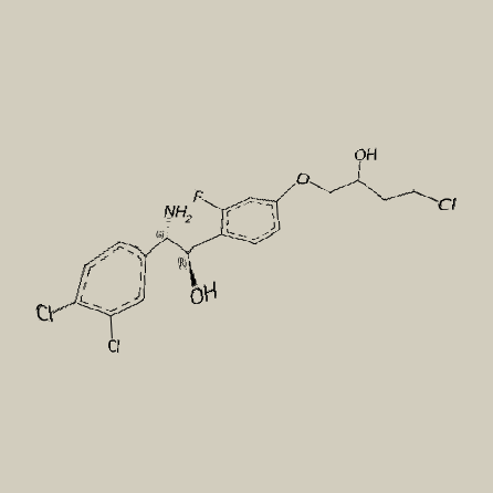 N[C@@H](c1ccc(Cl)c(Cl)c1)[C@H](O)c1ccc(OCC(O)CCCl)cc1F